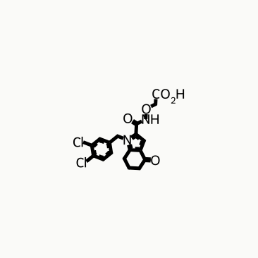 O=C(O)CONC(=O)c1cc2c(n1Cc1ccc(Cl)c(Cl)c1)CCCC2=O